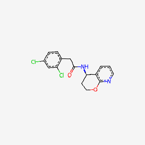 O=C(Cc1ccc(Cl)cc1Cl)N[C@@H]1CCOc2ncccc21